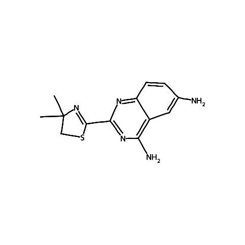 CC1(C)CSC(c2nc(N)c3cc(N)ccc3n2)=N1